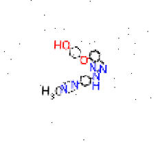 CN1CCN(c2ccc(Nc3ncc4cccc(OC5CCC(O)CC5)c4n3)cc2)CC1